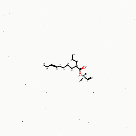 C=C[Si](C)(C)OC(=O)C(CCC)CCCCC=CCC